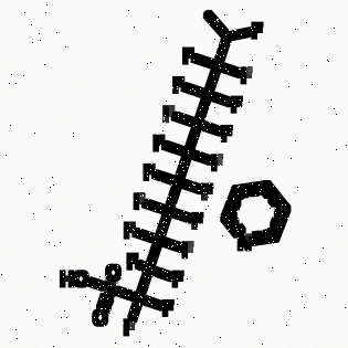 CC(F)C(F)(F)C(F)(F)C(F)(F)C(F)(F)C(F)(F)C(F)(F)C(F)(F)C(F)(F)C(F)(F)S(=O)(=O)O.c1ccncc1